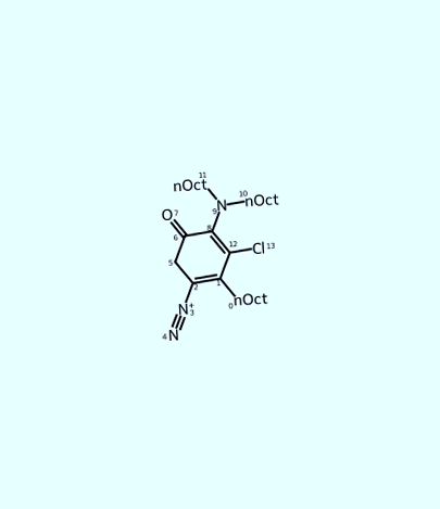 CCCCCCCCC1=C([N+]#N)CC(=O)C(N(CCCCCCCC)CCCCCCCC)=C1Cl